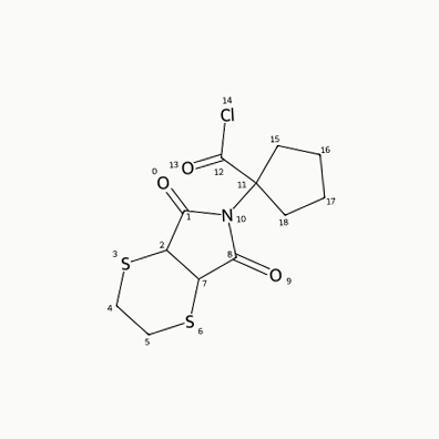 O=C1C2SCCSC2C(=O)N1C1(C(=O)Cl)CCCC1